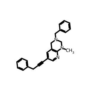 CN1CN(Cc2ccccc2)Cc2cc(C#CCc3ccccc3)cnc21